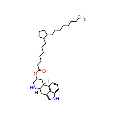 CCCCCCCC[C@H]1CCC[C@@H]1CCCCCCC(=O)OC1CN[C@@H]2Cc3c[nH]c4cccc(c34)[C@H]2C1